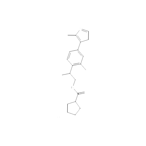 CC1=C(c2ccc(C(C)CNC(=O)C3CC[C@H](O)[C@@H]3F)c(C)c2)CC=N1